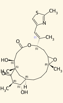 C/C(=C\c1csc(C)n1)[C@@H]1CC2O[C@]2(C)CCC[C@@H]2C[C@](C)(C(=O)[C@H](C)[C@H]2O)[C@@H](O)CC(=O)O1